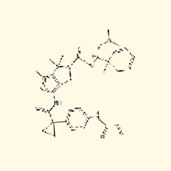 C=CC(=O)Nc1ccc(C2(C(=O)Nc3nn(C)c4c3CN(C(=O)N[C@H](CN(C)C)C3(C)C=CC=CC3)C4(C)C)CC2)cc1